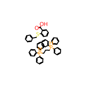 O=C(O)c1ccccc1SCc1ccccc1.c1ccc([PH](CCC[PH](c2ccccc2)(c2ccccc2)c2ccccc2)(c2ccccc2)c2ccccc2)cc1